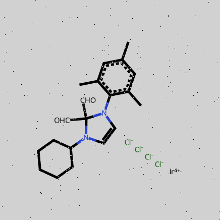 Cc1cc(C)c(N2C=CN(C3CCCCC3)C2(C=O)C=O)c(C)c1.[Cl-].[Cl-].[Cl-].[Cl-].[Ir+4]